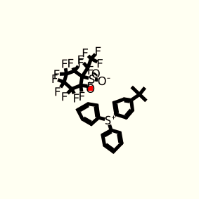 CC(C)(C)c1ccc([S+](c2ccccc2)c2ccccc2)cc1.O=S(=O)([O-])C1(C(F)(F)C(F)(F)F)C(F)(F)C(F)(F)C(F)(F)C(F)(F)C1(F)F